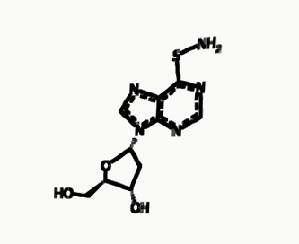 NSc1ncnc2c1ncn2[C@@H]1C[C@H](O)[C@@H](CO)O1